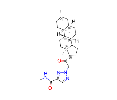 CNC(=O)c1cnn(CC(=O)[C@H]2CCC3[C@@H]4CC[C@@H]5C[C@@H](C)CC[C@]5(C)[C@H]4CC[C@@]32C)n1